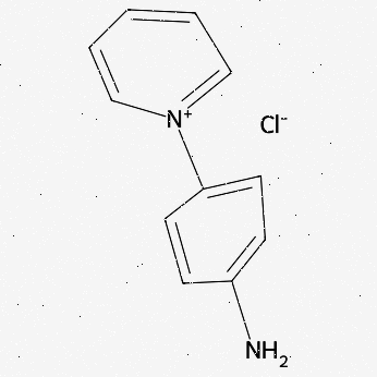 Nc1ccc(-[n+]2ccccc2)cc1.[Cl-]